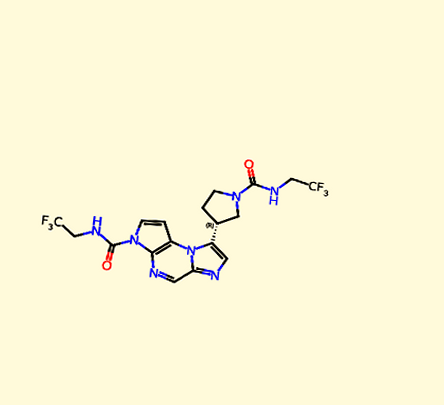 O=C(NCC(F)(F)F)N1CC[C@@H](c2cnc3cnc4c(ccn4C(=O)NCC(F)(F)F)n23)C1